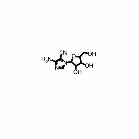 N#Cc1c(N)ncn1C1OC(CO)C(O)C1O